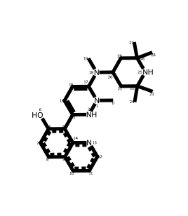 CN1NC(c2c(O)ccc3cccnc23)=CC=C1N(C)C1CC(C)(C)NC(C)(C)C1